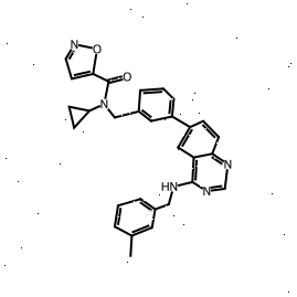 Cc1cccc(CNc2ncnc3ccc(-c4cccc(CN(C(=O)c5ccno5)C5CC5)c4)cc23)c1